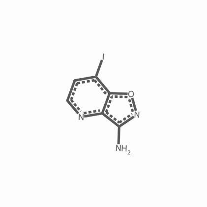 Nc1noc2c(I)ccnc12